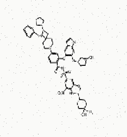 CC(C)c1ccccc1[C@@H]1CCCN1C1CC2(CCN(c3ccc(C(=O)NS(=O)(=O)c4cc5c(c([N+](=O)[O-])c4)N[C@@H]([C@H]4CC[C@](C)(O)CC4)CO5)c(Oc4cc5cc[nH]c5nc4O[C@@H]4CCN(C)C4)c3)CC2)C1